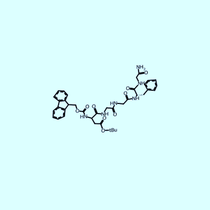 CC(C)(C)OC(=O)CC(NC(=O)OCC1c2ccccc2-c2ccccc21)C(=O)NCC(=O)NCC(=O)N[C@@H](Cc1ccccc1)C(=O)NCC(N)=O